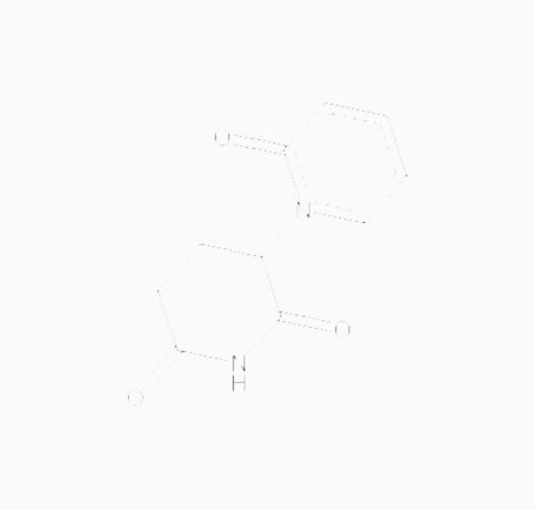 O=C1CCC(n2ccccc2=O)C(=O)N1